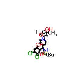 CC(C)(O)CC(=O)N1CCC(C(N[S+]([O-])C(C)(C)C)c2cc(Cl)c(Cl)cc2O)CC1